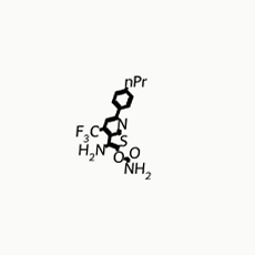 CCCc1ccc(-c2cc(C(F)(F)F)c3c(N)c(OC(N)=O)sc3n2)cc1